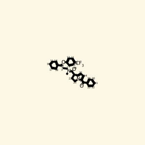 CN(CC[C@@H](Oc1ccc(C(F)(F)F)cc1)c1ccccc1)C(=O)C1CCn2c(C(=O)c3ccccc3)ccc21